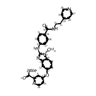 CNC(=O)c1cc(Oc2ccc3c(c2)nc(Nc2ccc(C(=O)NCCc4ccncc4)cc2)n3C)ccn1